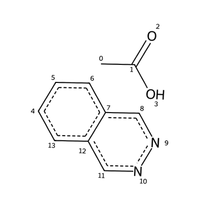 CC(=O)O.c1ccc2cnncc2c1